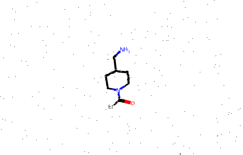 CCC(=O)N1CCC(CN)CC1